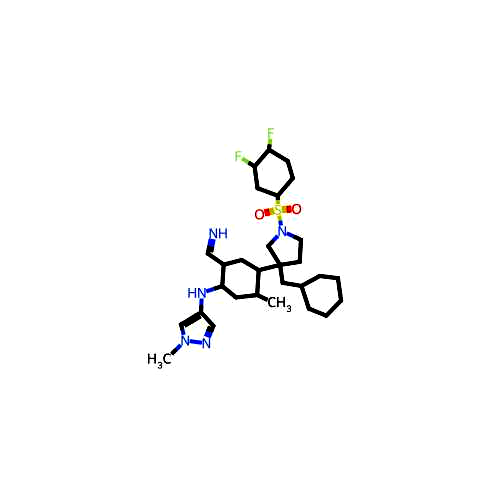 CC1CC(Nc2cnn(C)c2)C(C=N)CC1C1(CC2CCCCC2)CCN(S(=O)(=O)C2CCC(F)C(F)C2)C1